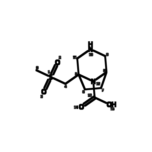 CS(=O)(=O)CC12CCC(CNC1)N2C(=O)O